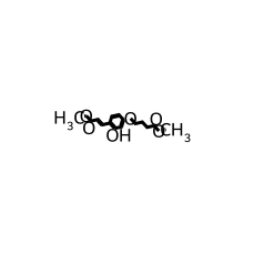 COC(=O)/C=C/c1ccc(OCCCC(=O)OC)cc1O